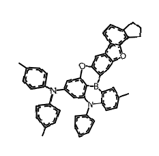 Cc1ccc(N(c2ccc(C)cc2)c2cc3c4c(c2)N(c2ccccc2)c2ccc(C)cc2B4c2cc4oc5c6c(ccc5c4cc2O3)CCC6)cc1